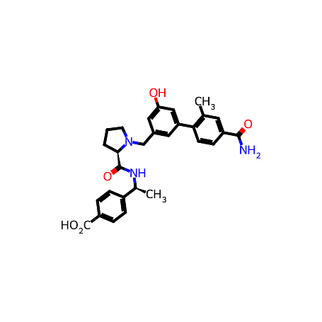 Cc1cc(C(N)=O)ccc1-c1cc(O)cc(CN2CCC[C@@H]2C(=O)N[C@@H](C)c2ccc(C(=O)O)cc2)c1